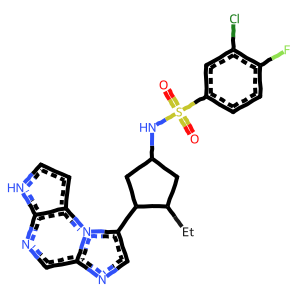 CCC1CC(NS(=O)(=O)c2ccc(F)c(Cl)c2)CC1c1cnc2cnc3[nH]ccc3n12